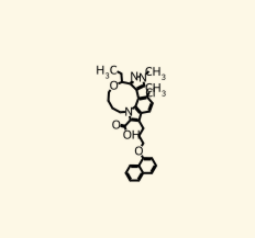 CCC1OCCCCn2c(C(=O)O)c(CCCOc3cccc4ccccc34)c3ccc(Cl)c(c32)-c2c1nn(C)c2C